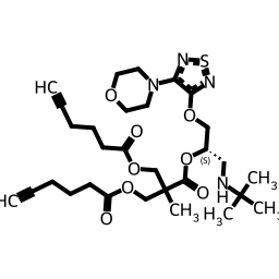 C#CCCCC(=O)OCC(C)(COC(=O)CCCC#C)C(=O)O[C@@H](CNC(C)(C)C)COc1nsnc1N1CCOCC1